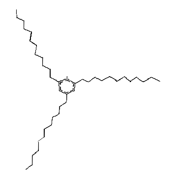 CCCCCCCCCCCCc1[c]c(CCCCCCCCCCCC)cc(CCCCCCCCCCCC)c1